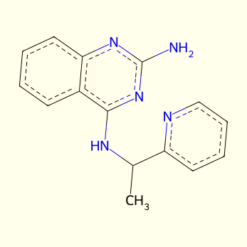 CC(Nc1nc(N)nc2ccccc12)c1ccccn1